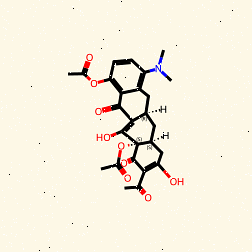 CC(=O)Oc1ccc(N(C)C)c2c1C(=O)C1=C(O)[C@]3(OC(C)=O)C(=O)C(C(C)=O)=C(O)C[C@@H]3C[C@@H]1C2